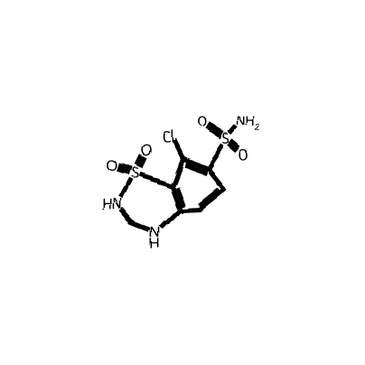 NS(=O)(=O)c1ccc2c(c1Cl)S(=O)(=O)NCN2